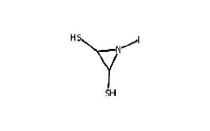 SC1C(S)N1I